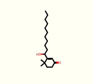 CCCCCCCCCCC(O)C1=CC(=O)CCC1(C)C